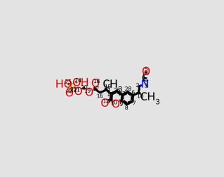 CC(CN=C=O)c1ccc2oc(=O)c(C(C)CC(=O)OCOP(=O)(O)O)cc2c1